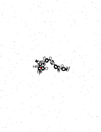 COc1cc(C(=O)N2CCN(c3ccc4c(c3)CN(C3CCC(=O)NC3=O)C4=O)CC2)ccc1NC(=O)[C@H]1[C@H](c2cccc(Cl)c2F)[C@]2(CNc3cc(C(F)(F)F)ncc32)[C@H](CC(C)(C)C)N1C